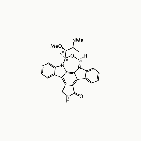 CNC1C[C@@H]2O[C@](C)([C@H]1OC)n1c3ccccc3c3c4c(c5c6ccccc6n2c5c31)C(=O)NC4